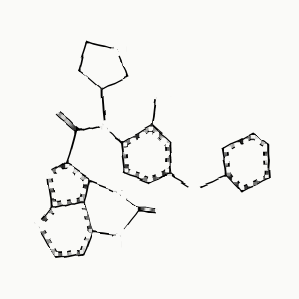 Cc1cc(Oc2ccccc2)ccc1N(C(=O)c1sc2nccc3c2c1NC(=O)N3)C1CCNC1